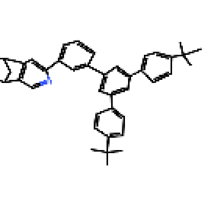 CC(C)(C)c1ccc(-c2cc(-c3ccc(C(C)(C)C)cc3)cc(-c3cccc(-c4cc5c(cn4)C4CCC5C4)c3)c2)cc1